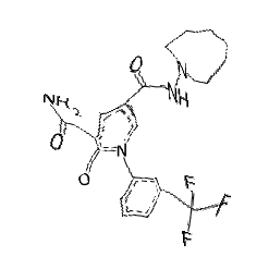 NC(=O)c1cc(C(=O)NN2CCCCC2)cn(-c2cccc(C(F)(F)F)c2)c1=O